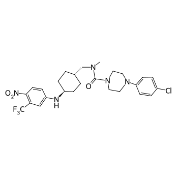 CN(C[C@H]1CC[C@H](Nc2ccc([N+](=O)[O-])c(C(F)(F)F)c2)CC1)C(=O)N1CCN(c2ccc(Cl)cc2)CC1